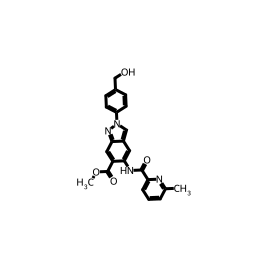 COC(=O)c1cc2nn(-c3ccc(CO)cc3)cc2cc1NC(=O)c1cccc(C)n1